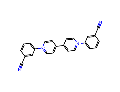 N#Cc1cccc(-[n+]2ccc(-c3cc[n+](-c4cccc(C#N)c4)cc3)cc2)c1